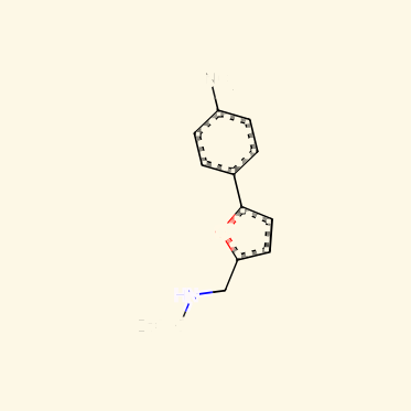 CCOC(=O)NCc1ccc(-c2ccc([N+](=O)[O-])cc2)o1